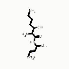 CC(/C=C/C(=O)O)NC(=O)C(N)C(O)CCCN